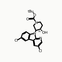 CC(C)(C)OC(=O)N1CC[C@@H](O)C(n2c3ccc(Cl)cc3c3cc(Cl)cnc32)C1